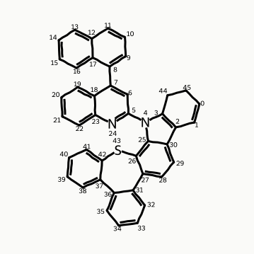 C1=Cc2c(n(-c3cc(-c4cccc5ccccc45)c4ccccc4n3)c3c4c(ccc23)-c2ccccc2-c2ccccc2S4)CC1